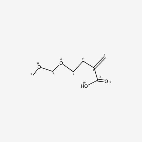 C=C(CCOCOC)C(=O)O